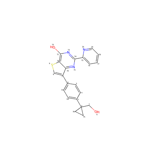 OCC1(c2ccc(-c3csc4c(O)nc(-c5ccccn5)nc34)cc2)CC1